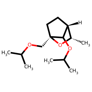 CC(C)OC[C@]12CC[C@@H](C1OC(C)C)[C@H](C)O2